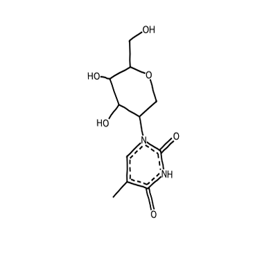 Cc1cn(C2COC(CO)C(O)C2O)c(=O)[nH]c1=O